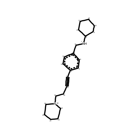 C(#Cc1ccc(CNC2CCCCC2)cc1)CCN1CCCCC1